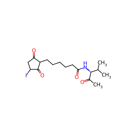 CC(=O)[C@@H](NC(=O)CCCCCC1C(=O)CC(I)C1=O)C(C)C